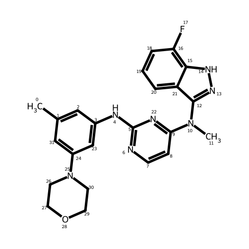 Cc1cc(Nc2nccc(N(C)c3n[nH]c4c(F)cccc34)n2)cc(N2CCOCC2)c1